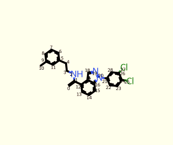 C=C(NCCc1cccc(C)c1)c1cccc2c1cnn2-c1ccc(Cl)c(Cl)c1